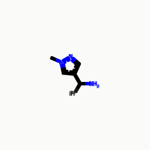 CC(C)C(N)c1cnn(C)c1